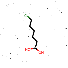 OC(O)CCCCCCl